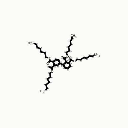 CCCCCCCOC(=O)c1ccc(-c2cccc(C(=O)OCCCCCCC)c2C(=O)OCCCCCCC)cc1C(=O)OCCCCCCC